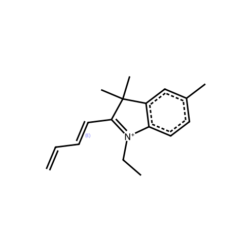 C=C/C=C/C1=[N+](CC)c2ccc(C)cc2C1(C)C